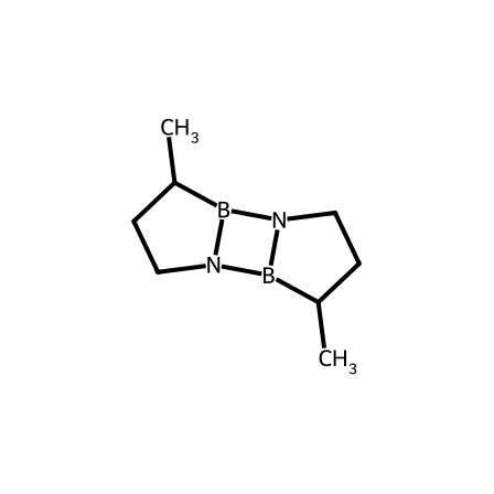 CC1CCN2B1N1CCC(C)B21